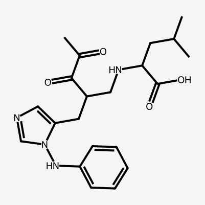 CC(=O)C(=O)C(CNC(CC(C)C)C(=O)O)Cc1cncn1Nc1ccccc1